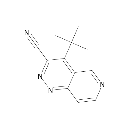 CC(C)(C)c1c(C#N)nnc2ccncc12